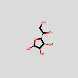 OCC(O)[C@H]1O[C@H](O)[C@H](O)[C@@H]1O